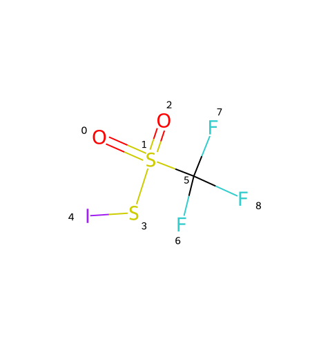 O=S(=O)(SI)C(F)(F)F